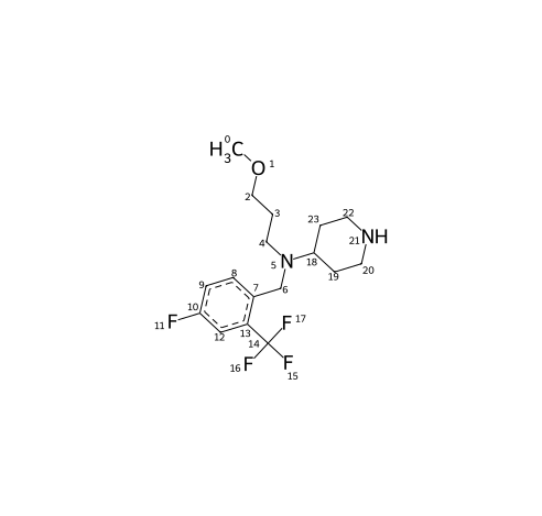 COCCCN(Cc1ccc(F)cc1C(F)(F)F)C1CCNCC1